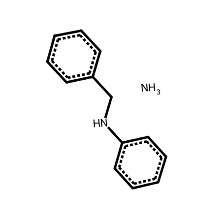 N.c1ccc(CNc2ccccc2)cc1